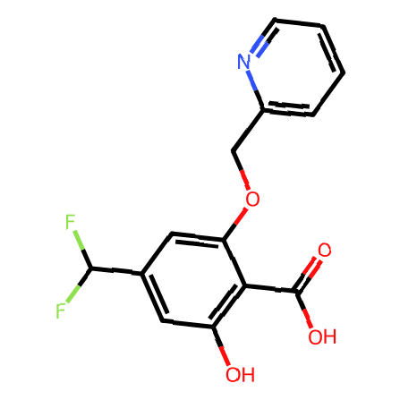 O=C(O)c1c(O)cc(C(F)F)cc1OCc1ccccn1